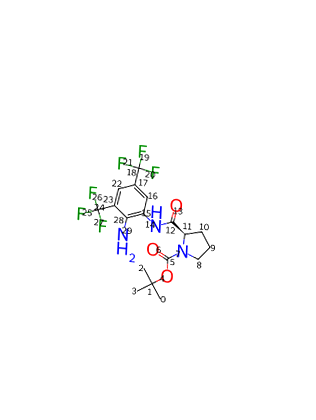 CC(C)(C)OC(=O)N1CCC[C@@H]1C(=O)Nc1cc(C(F)(F)F)cc(C(F)(F)F)c1N